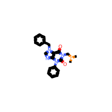 CP(C)Cn1c(=O)c2c(ncn2Cc2ccccc2)n(-c2ccccc2)c1=O